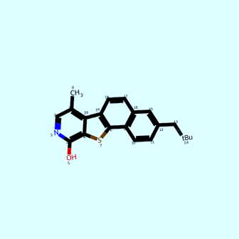 Cc1cnc(O)c2sc3c4ccc(CC(C)(C)C)cc4ccc3c12